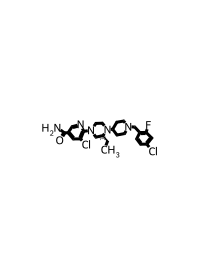 CC[C@H]1CN(c2ncc(C(N)=O)cc2Cl)CCN1C1CCN(Cc2ccc(Cl)cc2F)CC1